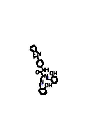 O=C(Nc1ccc(-c2nc3ccccc3s2)cc1)C(C/N=C/c1ccc#cc1O)/N=C/c1ccccc1O